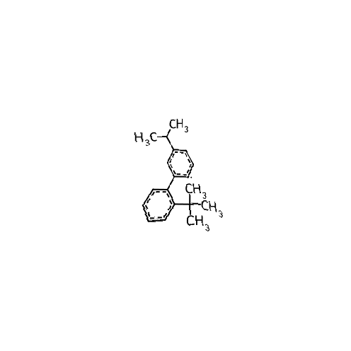 CC(C)c1cc[c]c(-c2ccccc2C(C)(C)C)c1